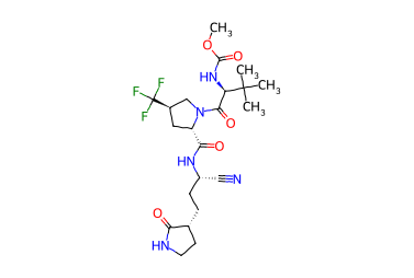 COC(=O)N[C@H](C(=O)N1C[C@H](C(F)(F)F)C[C@H]1C(=O)N[C@H](C#N)CC[C@@H]1CCNC1=O)C(C)(C)C